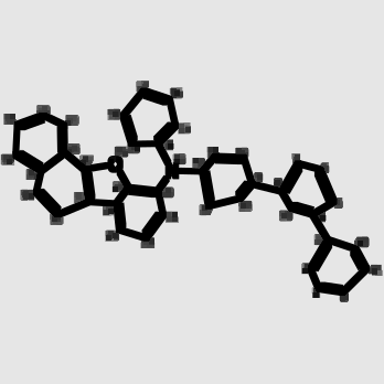 c1ccc(-c2cccc(-c3ccc(N(c4ccccc4)c4cccc5c4oc4c6ccccc6ccc54)cc3)c2)cc1